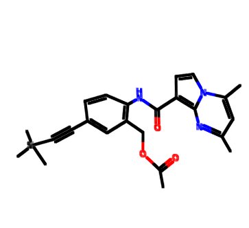 CC(=O)OCc1cc(C#C[Si](C)(C)C)ccc1NC(=O)c1ccn2c(C)cc(C)nc12